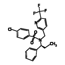 CC[C@@H](c1ccccc1)N(Cc1ccc(C(F)(F)F)nc1)S(=O)(=O)c1ccc(Cl)cc1